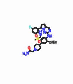 COc1cc(C2CCN(CC(N)=O)CC2)ccc1Nc1ncc2ccc(-c3cc(F)ccc3NCS(C)(=O)=O)n2n1